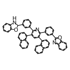 c1cc(-c2nc3ccccc3o2)cc(-c2nc(-c3cccc(C4Nc5ccccc5O4)c3)c(-c3cccc4ccccc34)cc2-c2cccc3ccccc23)c1